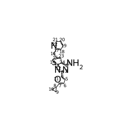 Nc1nc(-c2ccc(C3CC3)o2)nc2sc(Cc3ccccn3)cc12